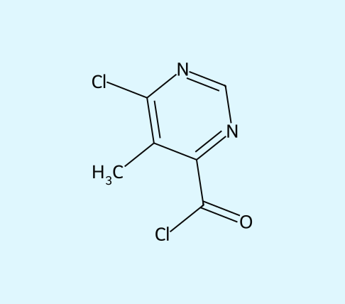 Cc1c(Cl)ncnc1C(=O)Cl